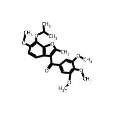 COc1cc(C(=O)c2c(C)oc3c(OC(C)C)c(OC)ccc23)cc(OC)c1OC